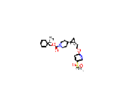 CC1(COC(=O)N2CCC([C@H]3C[C@H]3CCOc3ccc(S(C)(=O)=O)cn3)CC2)C=CC=CC1